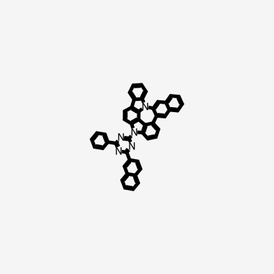 c1ccc(-c2nc(-c3ccc4ccccc4c3)nc(-n3c4cccc5c6cc7ccccc7cc6n6c7ccccc7c7ccc3c(c54)c76)n2)cc1